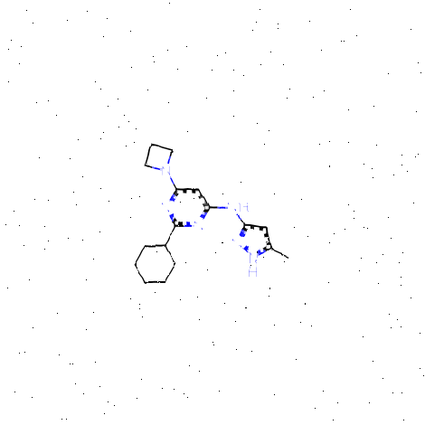 Cc1cc(Nc2cc(N3CCC3)nc(C3CCCCC3)n2)n[nH]1